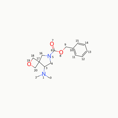 CN(C)C1CN(C(=O)OCc2ccccc2)CC12COC2